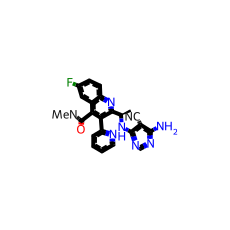 CNC(=O)c1c(-c2ccccn2)c([C@@H](C)Nc2ncnc(N)c2C#N)nc2ccc(F)cc12